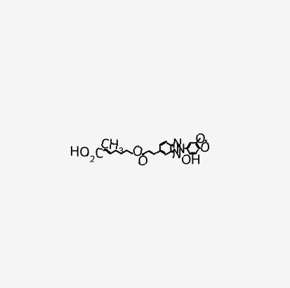 C/C(=C\CCCCOC(=O)CCc1ccc2nn(-c3cc4c(cc3O)OCO4)nc2c1)C(=O)O